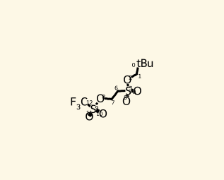 CC(C)(C)COS(=O)(=O)CCOS(=O)(=O)C(F)(F)F